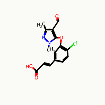 Cc1nn(C)c(Oc2cc(C=CC(=O)O)ccc2Cl)c1C=O